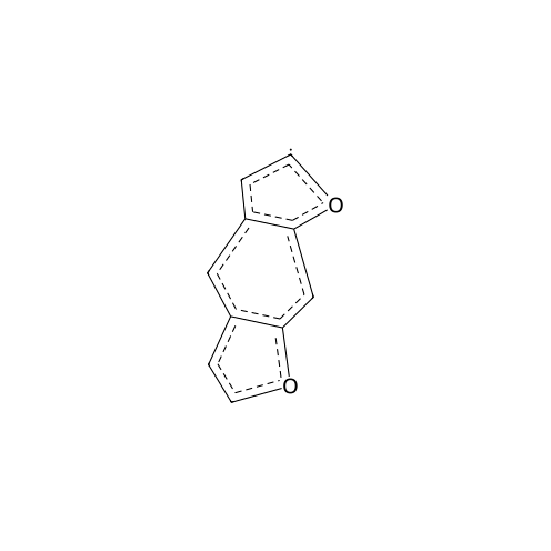 [c]1cc2cc3ccoc3cc2o1